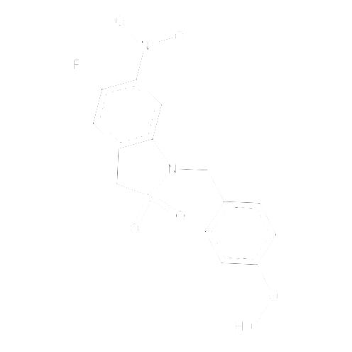 COc1ccc(CN2c3cc([N+](=O)[O-])c(F)cc3CS2(=O)=O)cc1